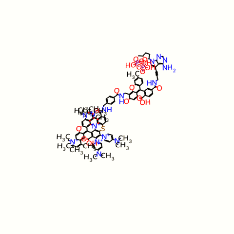 CCN1c2cc3c(cc2C(C)=CC1(C)C)C(c1c(C(=O)O)c(-[n+]2ccc(N(C)C)cc2)c(-[n+]2ccc(N(C)C)cc2)c(Sc2ccc(C(=O)NCc4ccc(C(=O)NCc5c6oc7cc(C)ccc7c(-c7cc(C(=O)NCC#Cc8cn(C9CCC(COP(=O)(O)OP(=O)(O)O)O9)c9ncnc(N)c89)ccc7C(=O)O)c-6ccc5=O)cc4)cc2)c1-[n+]1ccc(N(C)C)cc1)=c1cc2c(cc1O3)=[N+](CC)C(C)(C)C=C2C